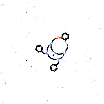 CN1CCN2CCOc3ccccc3OCCN(CC1)CCN(Cc1ccccc1)CCCN(Cc1ccccc1)CC2